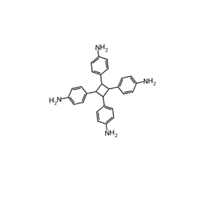 Nc1ccc(C2C(c3ccc(N)cc3)C(c3ccc(N)cc3)C2c2ccc(N)cc2)cc1